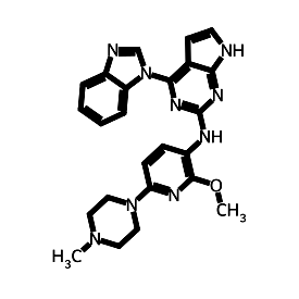 COc1nc(N2CCN(C)CC2)ccc1Nc1nc(-n2cnc3ccccc32)c2cc[nH]c2n1